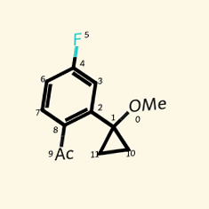 COC1(c2cc(F)ccc2C(C)=O)CC1